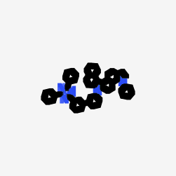 c1ccc(-c2nc(-c3ccccc3)nc(-c3cccc(-c4cccc(-n5c6ccc7ccccc7c6c6c7ccc8ccn(-c9ccccc9)c8c7ccc65)c4)c3)n2)cc1